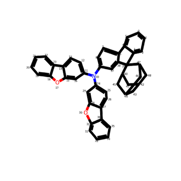 c1ccc2c(c1)-c1ccc(N(c3ccc4c(c3)oc3ccccc34)c3ccc4c(c3)oc3ccccc34)cc1C21C2CC3CC(C2)CC1C3